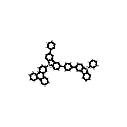 c1ccc(-c2ccc3c(c2)c2cc(-c4ccc(-c5ccc6c(c5)c5ccccc5n6-c5ccccc5)cc4)ccc2n3-c2ccc3c4ccccc4c4ccccc4c3c2)cc1